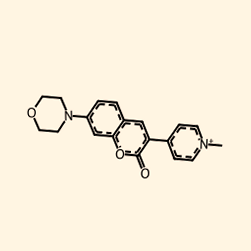 C[n+]1ccc(-c2cc3ccc(N4CCOCC4)cc3oc2=O)cc1